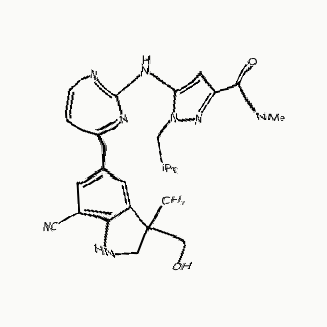 CNC(=O)c1cc(Nc2nccc(-c3cc(C#N)c4c(c3)C(C)(CO)CN4)n2)n(CC(C)C)n1